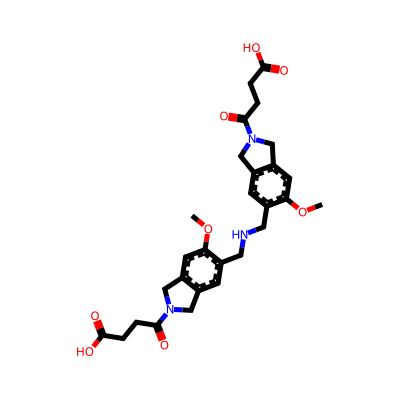 COc1cc2c(cc1CNCc1cc3c(cc1OC)CN(C(=O)CCC(=O)O)C3)CN(C(=O)CCC(=O)O)C2